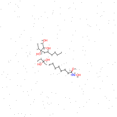 CCC(C)(O)O.CCCCCCC(O)(CC)C(O)CO.CCCCCCCC(=O)NO